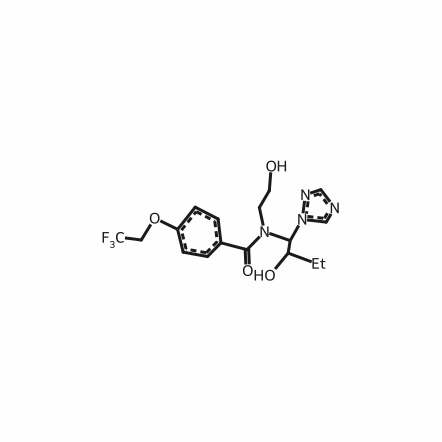 CCC(O)C(N(CCO)C(=O)c1ccc(OCC(F)(F)F)cc1)n1cncn1